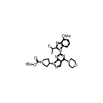 COc1cccc2c1nc(C(F)F)n2-c1nc(N2CCOCC2)c2cnn(C3CCN(C(=O)OC(C)(C)C)CC3)c2n1